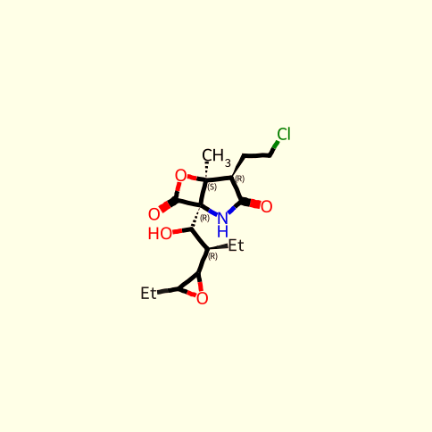 CCC1OC1[C@H](CC)C(O)[C@@]12NC(=O)[C@H](CCCl)[C@]1(C)OC2=O